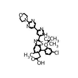 Cc1cc2nc(-c3ccnc(-c4cnc(N5CCOCC5)nc4)c3)sc2c(-c2ccc(Cl)cc2OC(C)(C)C)c1CC(=O)O